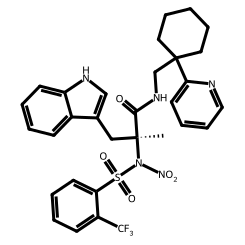 C[C@](Cc1c[nH]c2ccccc12)(C(=O)NCC1(c2ccccn2)CCCCC1)N([N+](=O)[O-])S(=O)(=O)c1ccccc1C(F)(F)F